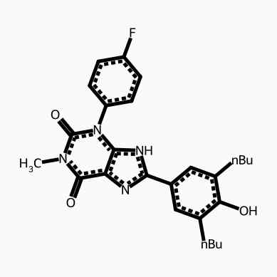 CCCCc1cc(-c2nc3c(=O)n(C)c(=O)n(-c4ccc(F)cc4)c3[nH]2)cc(CCCC)c1O